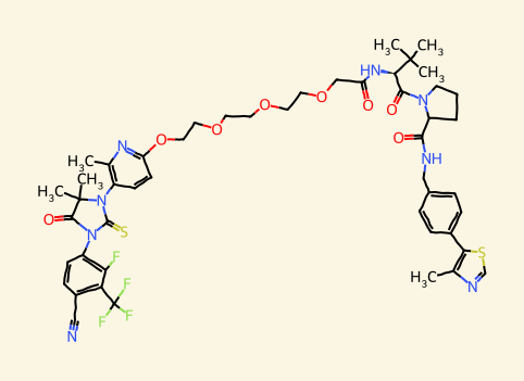 Cc1nc(OCCOCCOCCOCC(=O)N[C@H](C(=O)N2CCCC2C(=O)NCc2ccc(-c3scnc3C)cc2)C(C)(C)C)ccc1N1C(=S)N(c2ccc(C#N)c(C(F)(F)F)c2F)C(=O)C1(C)C